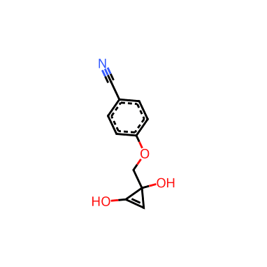 N#Cc1ccc(OCC2(O)C=C2O)cc1